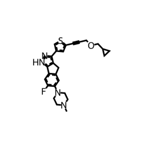 CN1CCN(c2cc3c(cc2F)-c2[nH]nc(-c4csc(C#CCOCC5CC5)c4)c2C3)CC1